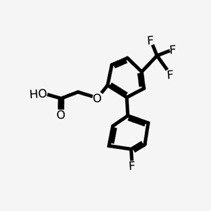 O=C(O)COc1ccc(C(F)(F)F)cc1-c1ccc(F)cc1